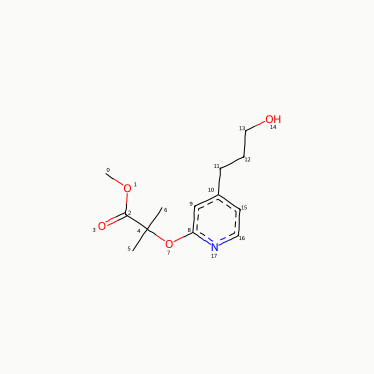 COC(=O)C(C)(C)Oc1cc(CCCO)ccn1